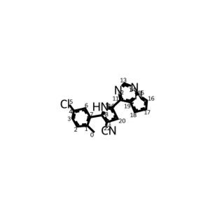 Cc1ccc(Cl)cc1-c1[nH]c(-c2ncnn3cccc23)cc1C#N